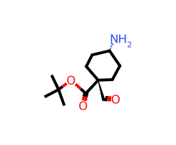 CC(C)(C)OC(=O)[C@]1(C=O)CC[C@H](N)CC1